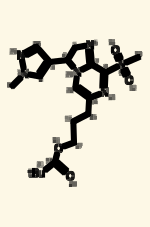 Cn1cc(C2CN=C3C(S(C)(=O)=O)=NC(CCCOC(=O)C(C)(C)C)=CN32)cn1